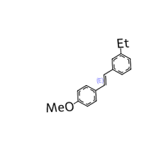 CCc1cccc(/C=C/c2ccc(OC)cc2)c1